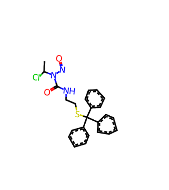 CC(Cl)N(N=O)C(=O)NCCSC(c1ccccc1)(c1ccccc1)c1ccccc1